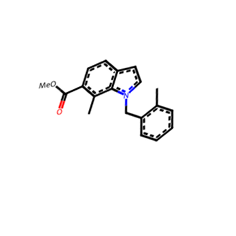 COC(=O)c1ccc2ccn(Cc3ccccc3C)c2c1C